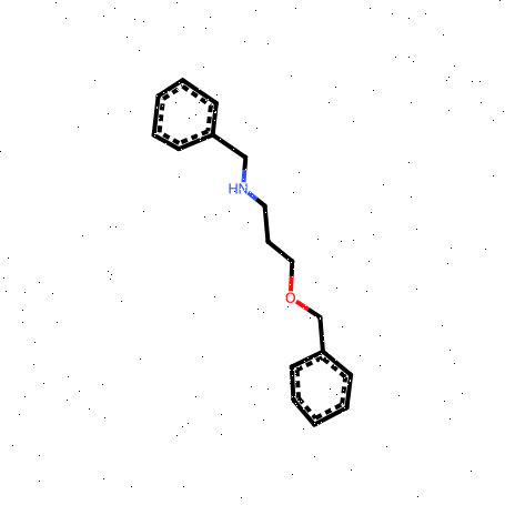 c1ccc(CNCCCOCc2ccccc2)cc1